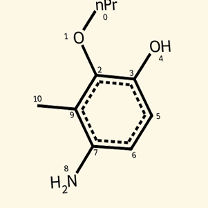 CCCOc1c(O)ccc(N)c1C